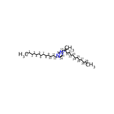 CCCCCCCCCCCCCn1cc[n+](CC(C)CCCCCCCCCCC)c1